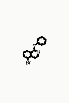 Brc1cccc2c(Sc3ccccc3)nccc12